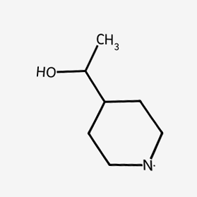 CC(O)C1CC[N]CC1